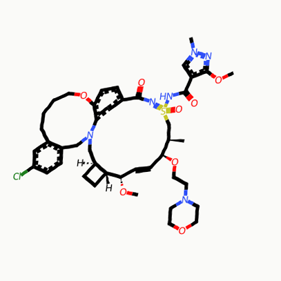 COc1nn(C)cc1C(=O)NS1(=O)=NC(=O)c2ccc3c(c2)N(Cc2ccc(Cl)cc2CCCCO3)C[C@@H]2CC[C@H]2[C@@H](OC)/C=C/[C@H](OCCN2CCOCC2)[C@H](C)C1